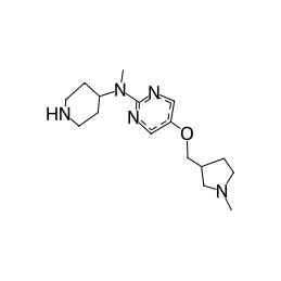 CN1CCC(COc2cnc(N(C)C3CCNCC3)nc2)C1